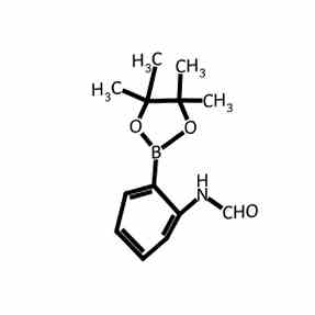 CC1(C)OB(c2ccccc2NC=O)OC1(C)C